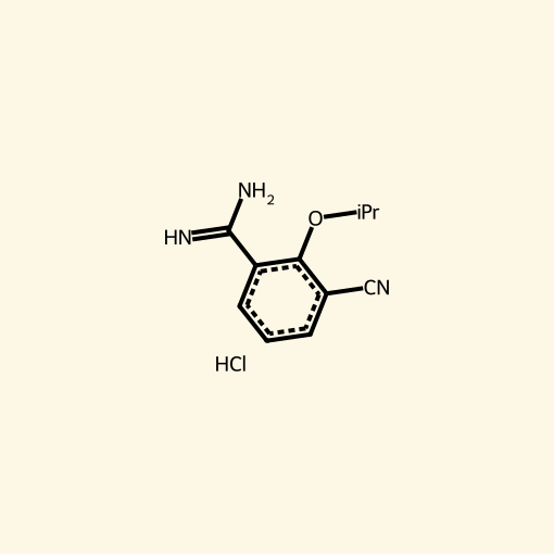 CC(C)Oc1c(C#N)cccc1C(=N)N.Cl